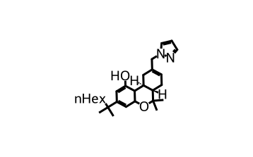 CCCCCCC(C)(C)C1=CC2OC(C)(C)[C@H]3CC=C(Cn4cccn4)C[C@@H]3C2C(O)=C1